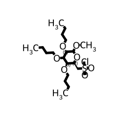 CCCCOC1[C@H](OCCCC)C(OC)O[C@@H](CS(=O)(=O)Cl)[C@H]1OCCCC